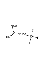 CNC(=N)NC.F[B-](F)(F)F